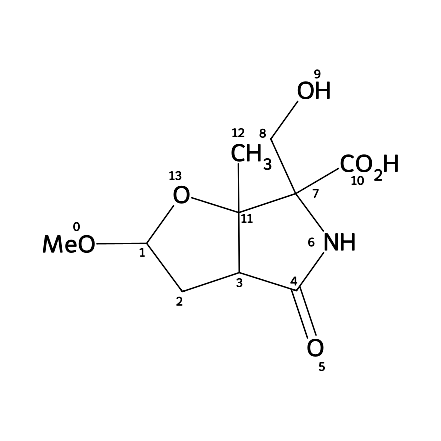 COC1CC2C(=O)NC(CO)(C(=O)O)C2(C)O1